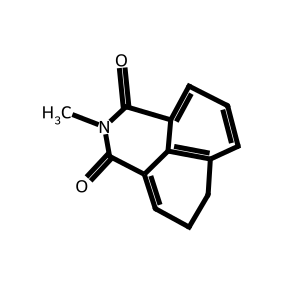 CN1C(=O)C2=CCCc3cccc(c32)C1=O